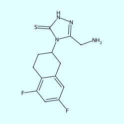 NCc1n[nH]c(=S)n1C1CCc2c(F)cc(F)cc2C1